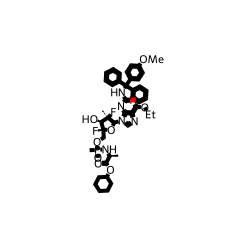 CCOc1nc(NC(c2ccccc2)(c2ccccc2)c2ccc(OC)cc2)nc2c1ncn2C1O[C@](F)(COP(C)(=O)N[C@@H](C)C(=O)OC2CCCCC2)[C@@H](O)[C@@]1(C)F